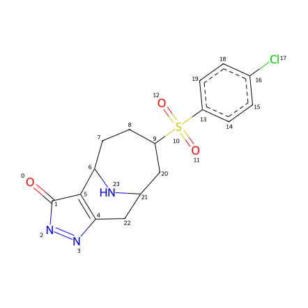 O=C1N=NC2=C1C1CCC(S(=O)(=O)c3ccc(Cl)cc3)CC(C2)N1